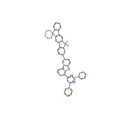 CC1(C)c2cc(-c3ccc4sc5c(-c6cc(-c7ccccc7)nc(-c7ccccc7)n6)cccc5c4c3)ccc2-c2cc3c(cc21)-c1ccccc1C31CCCCC1